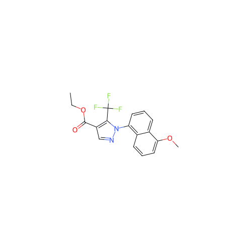 CCOC(=O)c1cnn(-c2cccc3c(OC)cccc23)c1C(F)(F)F